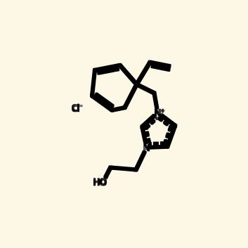 C=CC1(C[n+]2ccn(CCO)c2)C=CC=CC1.[Cl-]